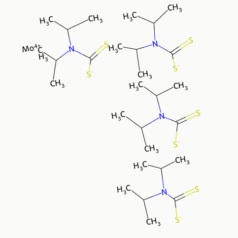 CC(C)N(C(=S)[S-])C(C)C.CC(C)N(C(=S)[S-])C(C)C.CC(C)N(C(=S)[S-])C(C)C.CC(C)N(C(=S)[S-])C(C)C.[Mo+4]